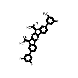 N#CC(C#N)=C1c2cc(-c3cc(F)cc(F)c3)ccc2-c2nc3c(nc21)C(=C(C#N)C#N)c1cc(-c2cc(F)cc(C(F)(F)F)c2)ccc1-3